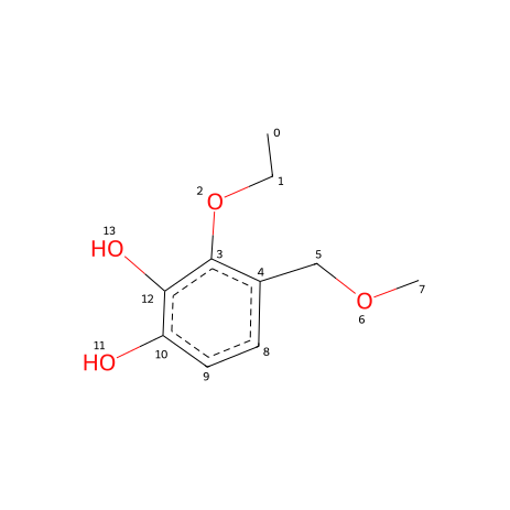 CCOc1c(COC)ccc(O)c1O